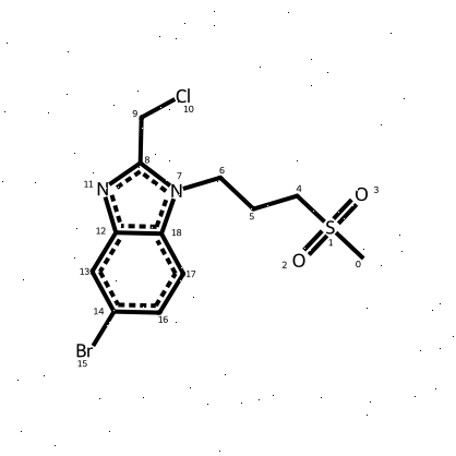 CS(=O)(=O)CCCn1c(CCl)nc2cc(Br)ccc21